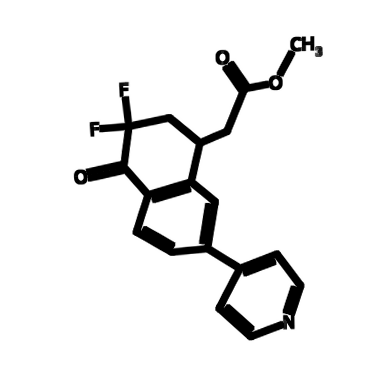 COC(=O)CC1CC(F)(F)C(=O)c2ccc(-c3ccncc3)cc21